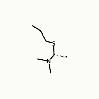 CCCS[C@H](C)N(C)C